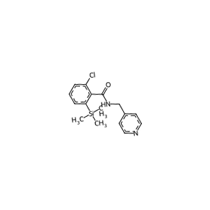 C[Si](C)(C)c1cccc(Cl)c1C(=O)NCc1ccncc1